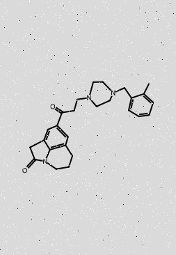 Cc1ccccc1CN1CCN(CCC(=O)c2cc3c4c(c2)CC(=O)N4CCC3)CC1